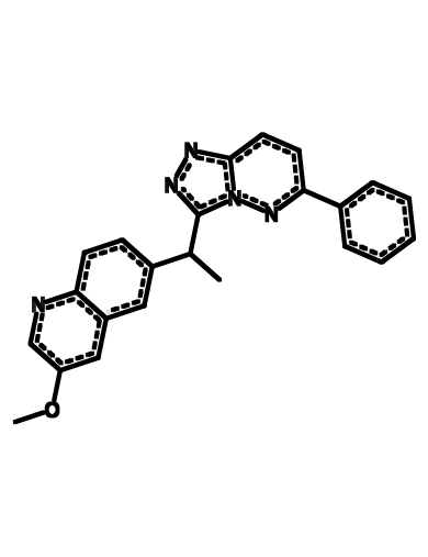 COc1cnc2ccc(C(C)c3nnc4ccc(-c5ccccc5)nn34)cc2c1